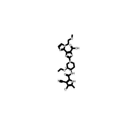 CCO[C@H]1CN(c2nc(-c3nccn3CCOC)c(C(=O)O)s2)CC[C@H]1NC(=O)c1[nH]c(C)c(Cl)c1C#N